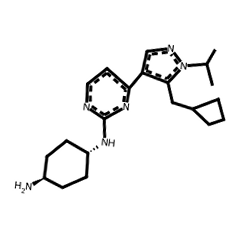 CC(C)n1ncc(-c2ccnc(N[C@H]3CC[C@H](N)CC3)n2)c1CC1CCC1